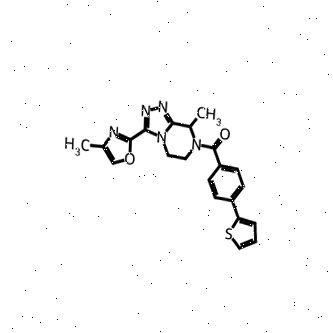 Cc1coc(-c2nnc3n2CCN(C(=O)c2ccc(-c4cccs4)cc2)C3C)n1